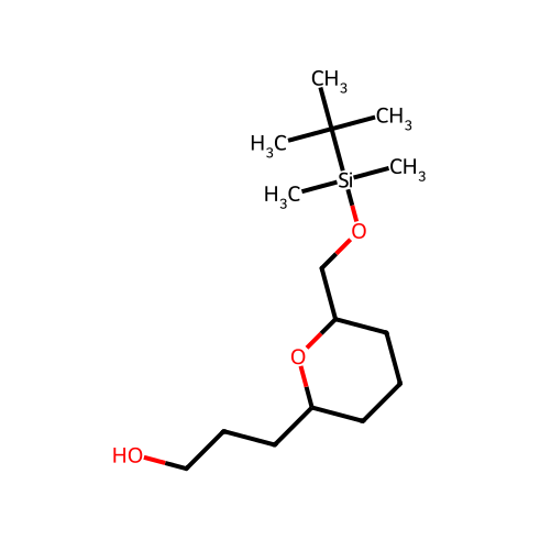 CC(C)(C)[Si](C)(C)OCC1CCCC(CCCO)O1